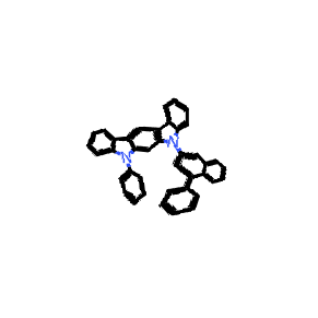 c1ccc(-c2cc(-n3c4ccccc4c4cc5c6ccccc6n(-c6ccccc6)c5cc43)cc3ccccc23)cc1